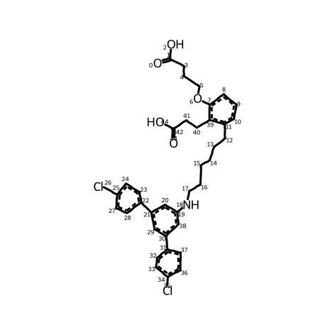 O=C(O)CCCOc1cccc(CCCCCCNc2cc(-c3ccc(Cl)cc3)cc(-c3ccc(Cl)cc3)c2)c1CCC(=O)O